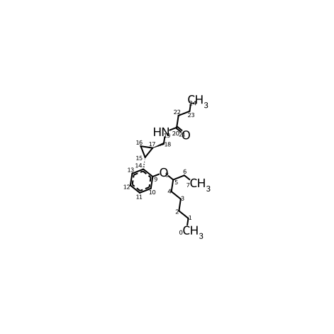 CCCCCC(CC)Oc1ccccc1[C@@H]1C[C@H]1CNC(=O)CCC